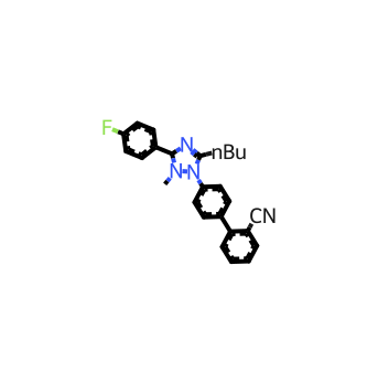 CCCCC1=NC(c2ccc(F)cc2)N(C)N1c1ccc(-c2ccccc2C#N)cc1